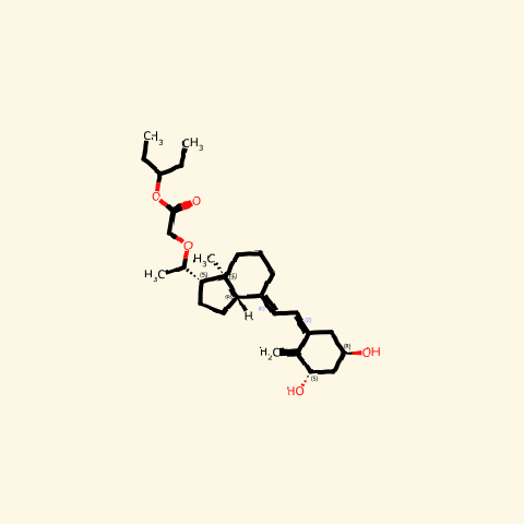 C=C1/C(=C\C=C2/CCC[C@]3(C)[C@@H](C(C)OCC(=O)OC(CC)CC)CC[C@@H]23)C[C@@H](O)C[C@@H]1O